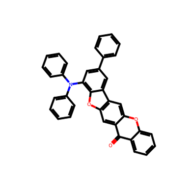 O=c1c2ccccc2oc2cc3c(cc12)oc1c(N(c2ccccc2)c2ccccc2)cc(-c2ccccc2)cc13